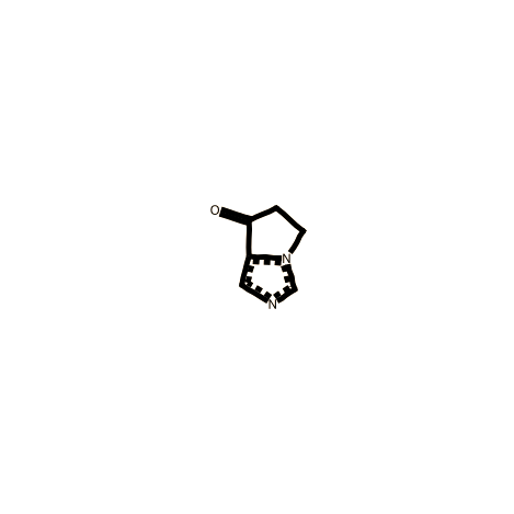 O=C1CCn2cncc21